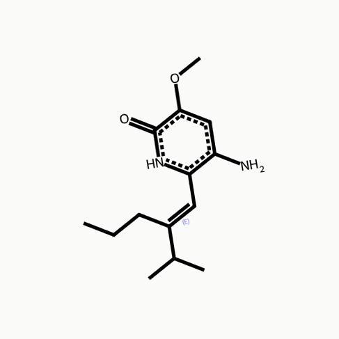 CCC/C(=C\c1[nH]c(=O)c(OC)cc1N)C(C)C